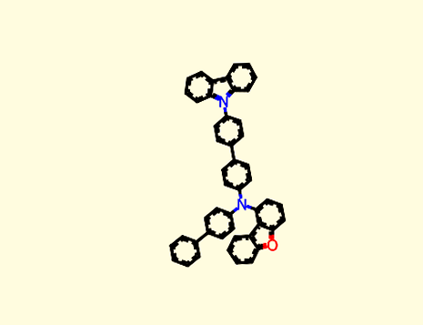 c1ccc(-c2ccc(N(c3ccc(-c4ccc(-n5c6ccccc6c6ccccc65)cc4)cc3)c3cccc4oc5ccccc5c34)cc2)cc1